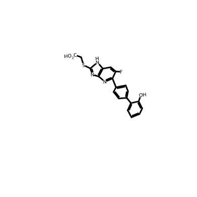 O=C(O)CSc1nc2nc(-c3ccc(-c4ccccc4O)cc3)c(F)cc2[nH]1